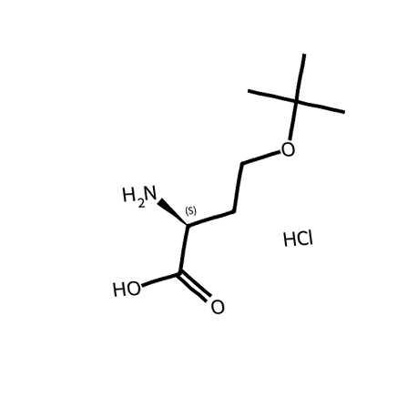 CC(C)(C)OCC[C@H](N)C(=O)O.Cl